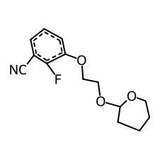 N#Cc1cccc(OCCOC2CCCCO2)c1F